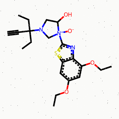 C#CC(CC)(CC)N1CC(O)[N+]([O-])(c2nc3c(OCC)cc(OCC)cc3s2)C1